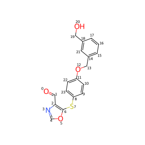 O=Cc1ncoc1Sc1ccc(OCc2cccc(CO)c2)cc1